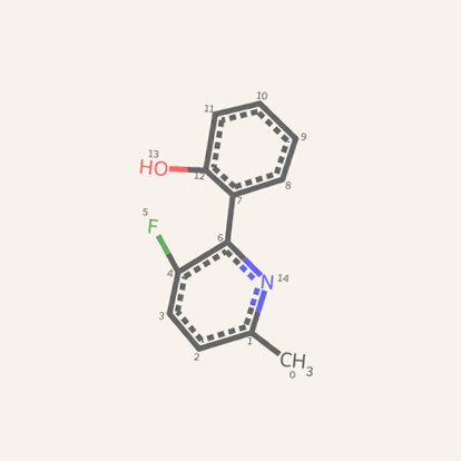 Cc1ccc(F)c(-c2ccccc2O)n1